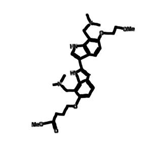 COCCOc1ccc2c(-c3[c]c4ccc(OCCCC(=O)OC)c(CN(C)C)c4[nH]3)c[nH]c2c1CN(C)C